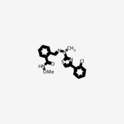 CONC(=O)c1ccccc1C=NN(C)c1nc(-c2ccccc2Cl)cs1